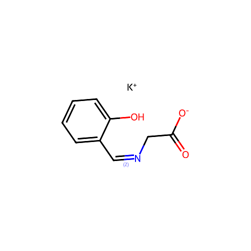 O=C([O-])C/N=C\c1ccccc1O.[K+]